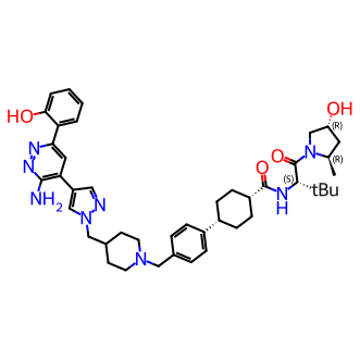 C[C@@H]1C[C@@H](O)CN1C(=O)[C@@H](NC(=O)[C@H]1CC[C@@H](c2ccc(CN3CCC(Cn4cc(-c5cc(-c6ccccc6O)nnc5N)cn4)CC3)cc2)CC1)C(C)(C)C